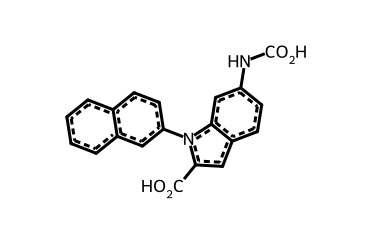 O=C(O)Nc1ccc2cc(C(=O)O)n(-c3ccc4ccccc4c3)c2c1